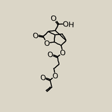 C=CC(=O)OCCC(=O)OC1C2CC3C1OC(=O)C3C2C(=O)O